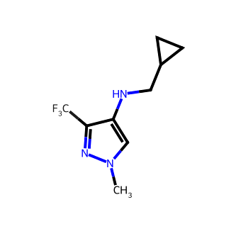 Cn1cc(NCC2CC2)c(C(F)(F)F)n1